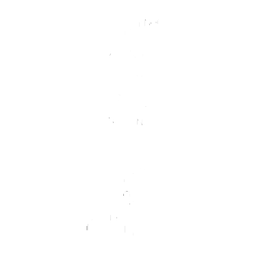 CCCCCCCCCOc1ccc(-c2cnc(-c3ccc(OCC(F)C(C)C)cc3)nc2)cc1